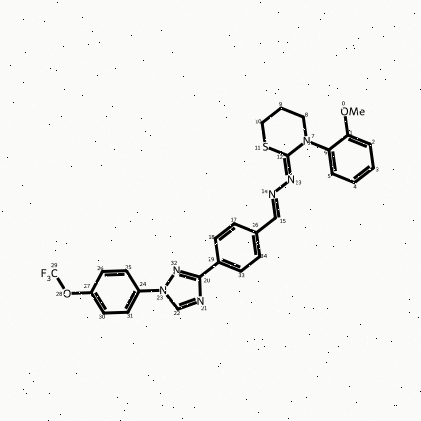 COc1ccccc1N1CCCS/C1=N\N=C\c1ccc(-c2ncn(-c3ccc(OC(F)(F)F)cc3)n2)cc1